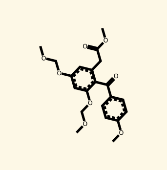 COCOc1cc(CC(=O)OC)c(C(=O)c2ccc(OC)cc2)c(OCOC)c1